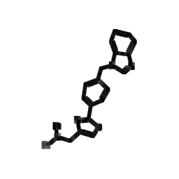 CCN(CC)Cc1coc(-c2ccc(Cn3cnc4ccccc43)cc2)n1